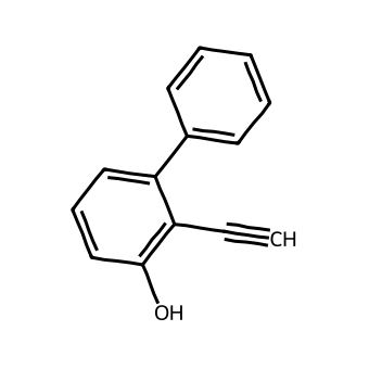 C#Cc1c(O)cccc1-c1ccccc1